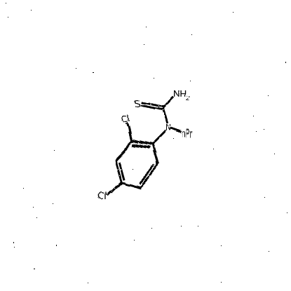 CCCN(C(N)=S)c1ccc(Cl)cc1Cl